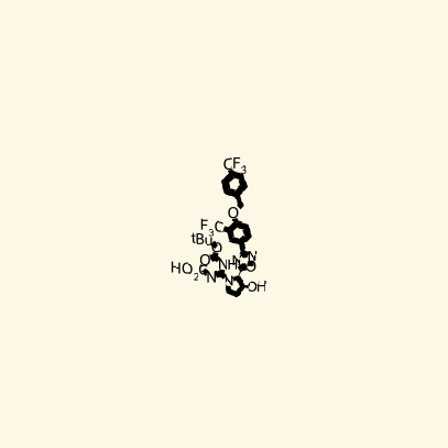 CC(C)(C)OC(=O)N/C(=N\C(=O)O)N1CC[C@H](O)[C@H]1c1nc(-c2ccc(OCc3ccc(C(F)(F)F)cc3)c(C(F)(F)F)c2)no1